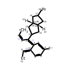 C\C=C/C(=c1/cc(F)cc/c1=C\CC)C1C[C@@H]2CC(C(C)C)C[C@@H]2C1